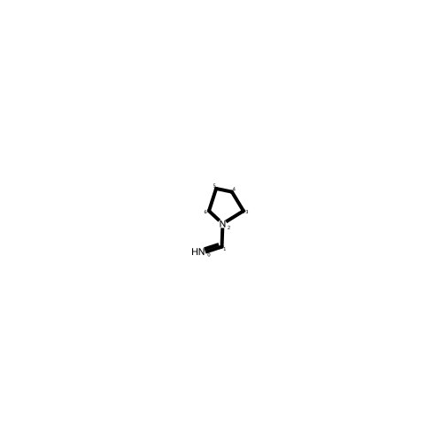 N=CN1[CH]CCC1